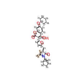 O=C1C(=Cc2ccc(-c3c(O)c4ccc(OC5CCCCC5)cc4oc3=O)o2)SC(=S)N1C1CC2CCC1C2